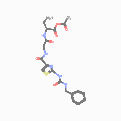 O=C(O)C[C@H](NC(=O)CNC(=O)c1csc(NC(=O)NCc2ccccc2)n1)C(=O)OC(=O)C(F)(F)F